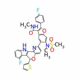 CNC(=O)c1c(-c2ccc(F)cc2)oc2cc(N(C)S(C)(=O)=O)c(-c3ccc4c(n3)-c3[nH]c5cccc(F)c5c3C(c3cccs3)O4)cc12